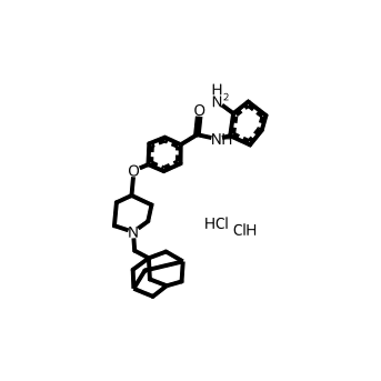 Cl.Cl.Nc1ccccc1NC(=O)c1ccc(OC2CCN(CC34CC5CC(CC(C5)C3)C4)CC2)cc1